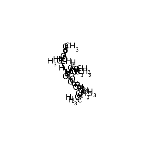 CC[C@H](CC[C@@H](C)C1CCC2C3CC=C4CC(OC(=O)CCC(=O)N(CCCCCCCC(C)(C)NC(=O)OCc5ccc(OC)cc5)CCC(C)(C)NC(=O)OC(C)(C)C)CCC4(C)C3CCC21C)C(C)C